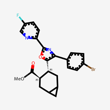 COC(=O)[C@@H]1CC2CC2C[C@H]1c1oc(-c2ccc(F)cn2)nc1-c1ccc(Br)cc1